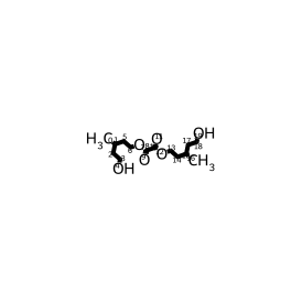 CC(CCO)CCOC(=O)C(=O)OCCC(C)CCO